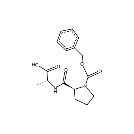 C[C@@H](NC(=O)[C@@H]1CCCN1C(=O)OCc1ccccc1)C(=O)O